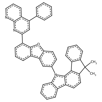 CC1(C)c2ccccc2-c2c1ccc1c3ccccc3n(-c3ccc4oc5c(-c6cc(-c7ccccc7)c7cccnc7n6)cccc5c4c3)c21